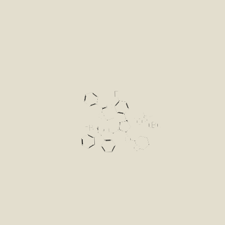 CC(C)(C)[Si](C)(C)OC[C@]1(c2ccc(F)cc2)C[C@H](OC2CCCCO2)[C@@H](CO[Si](c2ccccc2)(c2ccccc2)C(C)(C)C)[C@@H]1CCOC(=O)c1ccccc1